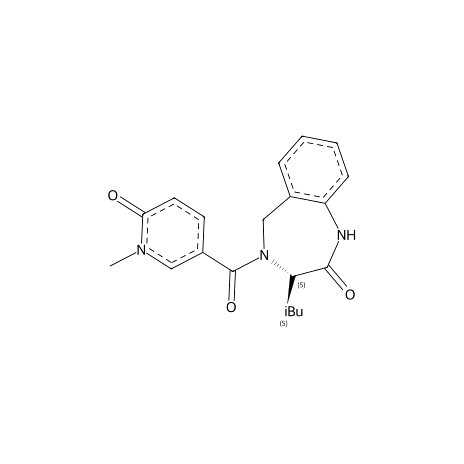 CC[C@H](C)[C@H]1C(=O)Nc2ccccc2CN1C(=O)c1ccc(=O)n(C)c1